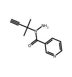 C#CC(C)(C)N(N)C(=O)c1cccnc1